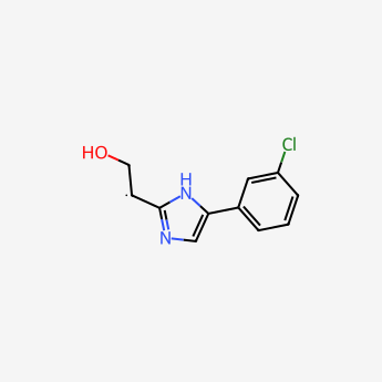 OC[CH]c1ncc(-c2cccc(Cl)c2)[nH]1